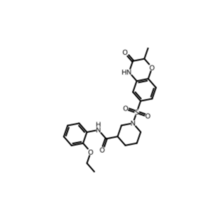 CCOc1ccccc1NC(=O)C1CCCN(S(=O)(=O)c2ccc3c(c2)NC(=O)C(C)O3)C1